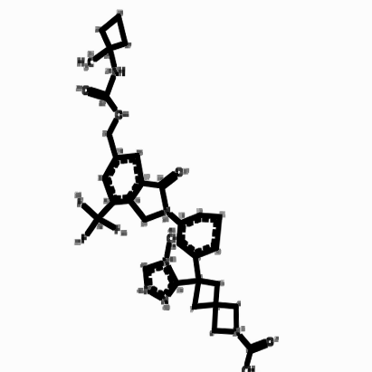 CC(=O)N1CC2(C1)CC(c1cccc(N3Cc4c(cc(COC(=O)NC5(C)CCC5)cc4C(F)(F)F)C3=O)c1)(c1nncn1C)C2